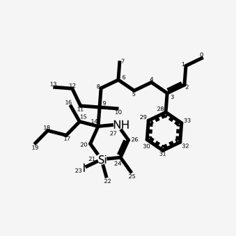 CC/C=C(\CCC(C)CC(C)(CCC)C1(C(C)CCC)C[Si](C)(I)C(C)=CN1)c1ccccc1